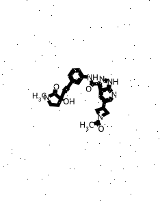 CC(=O)N1CC(c2cnc3[nH]nc(C(=O)Nc4cccc(C#C[C@]5(O)CCN(C)C5=O)c4)c3c2)C1